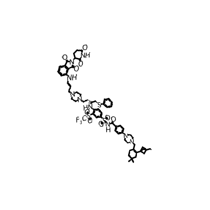 CC1(C)CCC(CN2CCN(c3ccc(C(=O)NS(=O)(=O)c4ccc(N[C@H](CCN5CCN(CCCNc6cccc7c6C(=O)N(C6CCC(=O)NC6=O)C7=O)CC5)CSc5ccccc5)c(S(=O)(=O)C(F)(F)F)c4)cc3)CC2)=C(C23CC(C)(C2)C3)C1